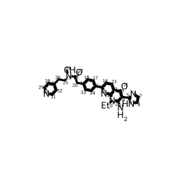 CCn1c(N)c(-c2ncc[nH]2)c(=O)c2ccc(-c3ccc(CC(=O)N(C)CCc4ccncc4)cc3)nc21